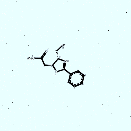 COC(=O)C[C@@H]1OC(c2ccccc2)=N[C@H]1CC(C)C